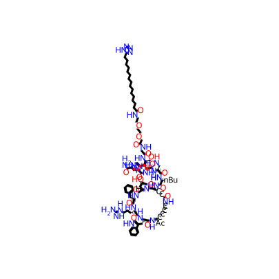 CCCC[C@H](NC(=O)[C@H](CN)NC(=O)[C@H](Cc1c[nH]cn1)NC(=O)[C@H](CCC(N)=O)NC(=O)[C@H](CO)NC(=O)CNC(=O)COCCOCCNC(=O)CCCCCCCCCCCCCCCc1nnn[nH]1)C(=O)N[C@H]1CCC(=O)NCCCC[C@@H](C(C)=O)NC(=O)[C@H](Cc2c[nH]c3ccccc23)NC(=O)[C@H](CCCNC(=N)N)NC(=O)[C@@H](Cc2ccccc2)NC(=O)[C@@H]2C[C@@H](O)CN2C1=O